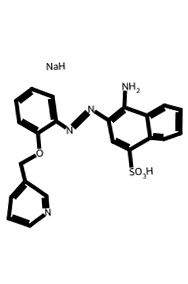 Nc1c(N=Nc2ccccc2OCc2cccnc2)cc(S(=O)(=O)O)c2ccccc12.[NaH]